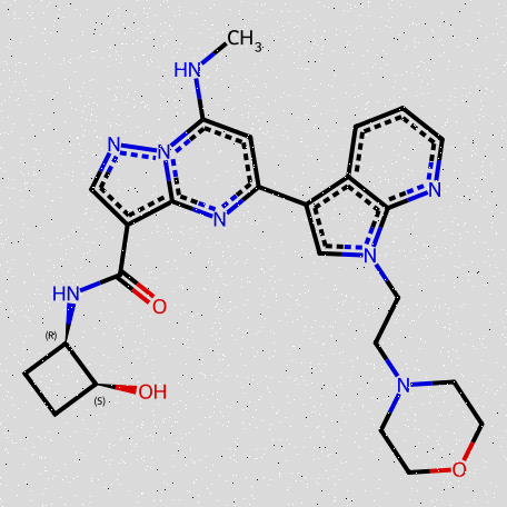 CNc1cc(-c2cn(CCN3CCOCC3)c3ncccc23)nc2c(C(=O)N[C@@H]3CC[C@@H]3O)cnn12